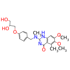 COc1cc2[nH]c(N(C)Cc3ccc(OCC(O)CO)cc3)nc(=O)c2c(C)c1OC